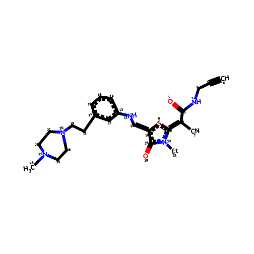 C#CCNC(=O)C(C#N)=c1sc(=CNc2cccc(CCN3CCN(C)CC3)c2)c(=O)n1CC